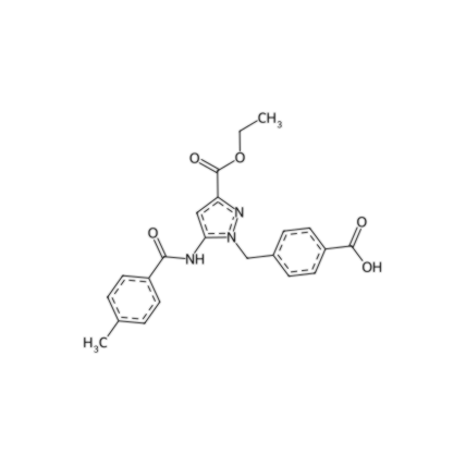 CCOC(=O)c1cc(NC(=O)c2ccc(C)cc2)n(Cc2ccc(C(=O)O)cc2)n1